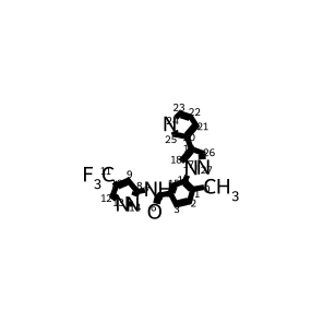 Cc1ccc(C(=O)Nc2cc(C(F)(F)F)cnn2)cc1-n1cc(-c2cccnc2)cn1